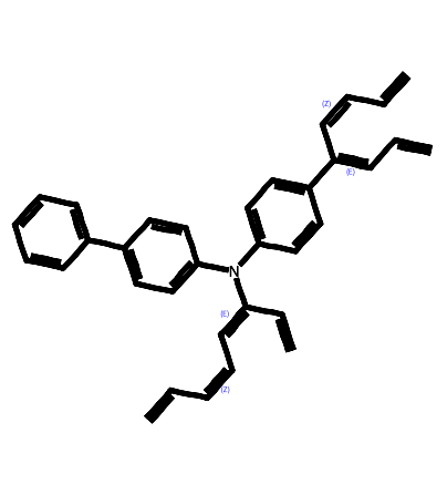 C=C/C=C\C=C(/C=C)N(c1ccc(C(/C=C\C=C)=C/C=C)cc1)c1ccc(-c2ccccc2)cc1